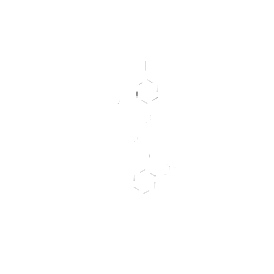 Fc1ccc(OCS(COc2ccc(F)cc2Br)(C2CCCCC2)C2CCCCC2)c(Br)c1